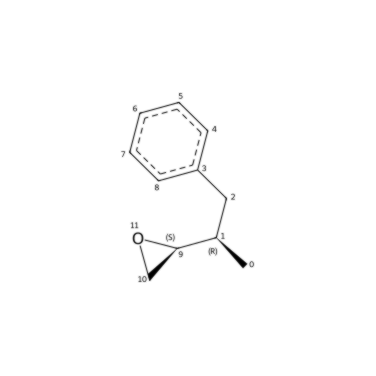 C[C@H](Cc1ccccc1)[C@H]1CO1